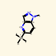 Cn1ncc2n[c]([Sn]([CH3])([CH3])[CH3])ccc21